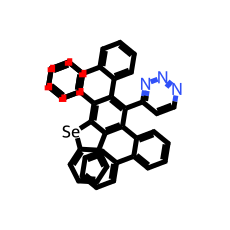 c1ccc(-c2ccccc2-c2c(-c3ccnnn3)c(-c3ccccc3-c3ccccc3)c3c([se]c4ccccc43)c2-c2ccccc2)cc1